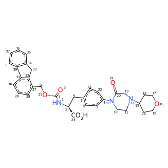 O=C(N[C@@H](Cc1ccc(N2CCN(C3CCOCC3)CC2=O)cc1)C(=O)O)OCc1cccc2c1Cc1ccccc1-2